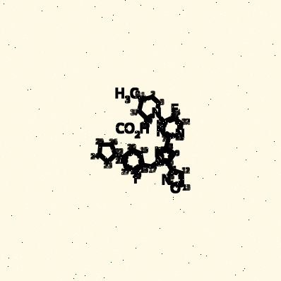 C[C@H]1CCN(c2nc(-c3cc(-c4ccon4)n(Cc4ccc(C5CCCC5)cc4F)n3)ncc2F)[C@@H](C(=O)O)C1